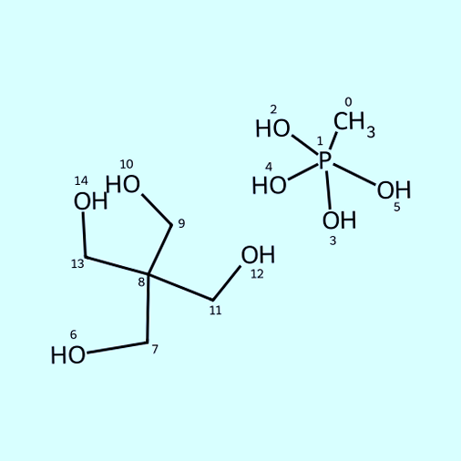 CP(O)(O)(O)O.OCC(CO)(CO)CO